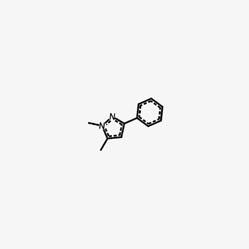 Cc1cc(-c2ccccc2)nn1C